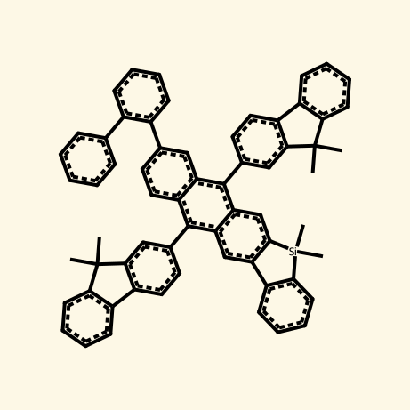 CC1(C)c2ccccc2-c2ccc(-c3c4ccc(-c5ccccc5-c5ccccc5)cc4c(-c4ccc5c(c4)C(C)(C)c4ccccc4-5)c4cc5c(cc34)-c3ccccc3[Si]5(C)C)cc21